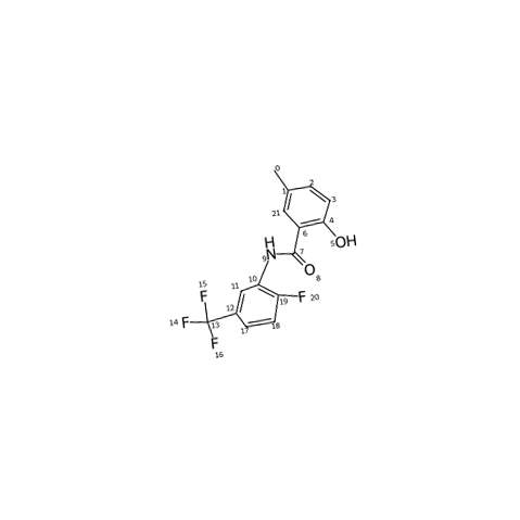 Cc1ccc(O)c(C(=O)Nc2cc(C(F)(F)F)ccc2F)c1